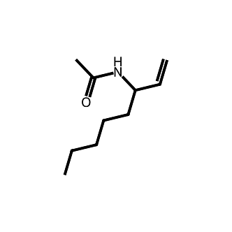 C=CC(CCCCC)NC(C)=O